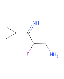 N=C(C(I)CN)C1CC1